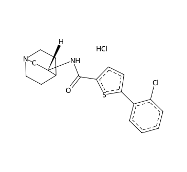 Cl.O=C(N[C@H]1CN2CCC1CC2)c1ccc(-c2ccccc2Cl)s1